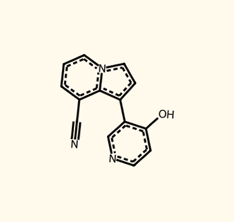 N#Cc1cccn2ccc(-c3cnccc3O)c12